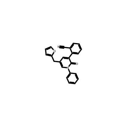 N#Cc1ccccc1-c1cc(Cc2ccco2)cn(-c2ccccc2)c1=O